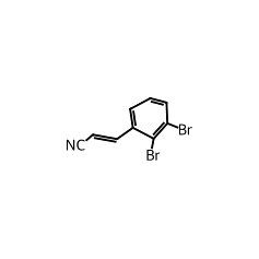 N#C/C=C/c1cccc(Br)c1Br